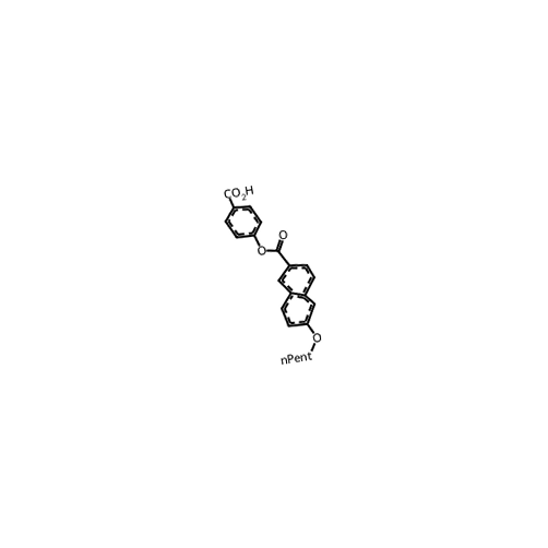 CCCCCOc1ccc2cc(C(=O)Oc3ccc(C(=O)O)cc3)ccc2c1